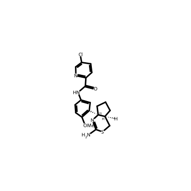 COc1ccc(NC(=O)c2ccc(Cl)cn2)cc1[C@]12CCC[C@H]1CSC(N)=N2